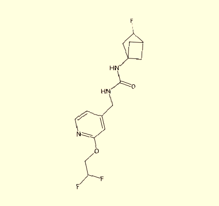 O=C(NCc1ccnc(OCC(F)F)c1)NC12CC(F)C(C1)C2